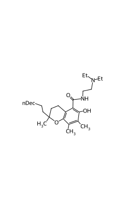 CCCCCCCCCCCCC1(C)CCc2c(c(C)c(C)c(O)c2C(=O)NCCN(CC)CC)O1